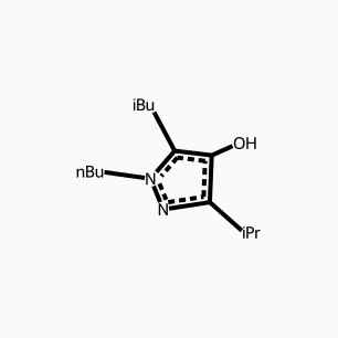 CCCCn1nc(C(C)C)c(O)c1C(C)CC